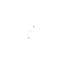 Cc1nc(OCCNC2CC2)c(C)c2c1CC(CNCCC1CN(c3ccc4c(n3)NC(=O)CO4)C(=O)O1)C2